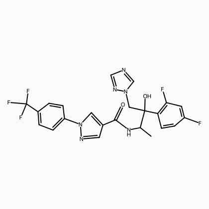 CC(NC(=O)c1cnn(-c2ccc(C(F)(F)F)cc2)c1)C(O)(Cn1cncn1)c1ccc(F)cc1F